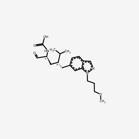 COCCCn1ncc2ccc(C[C@H](C[C@@H](C=O)NC(=O)O)C(C)C)cc21